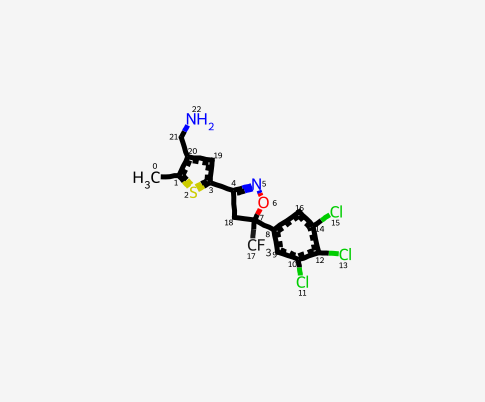 Cc1sc(C2=NOC(c3cc(Cl)c(Cl)c(Cl)c3)(C(F)(F)F)C2)cc1CN